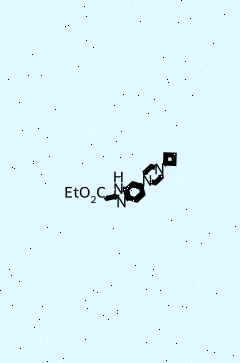 CCOC(=O)Cc1nc2ccc(N3CCN(C4CCC4)CC3)cc2[nH]1